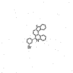 Brc1cccc(-c2nc3ccccc3c3c2ccc2sc4ccccc4c23)c1